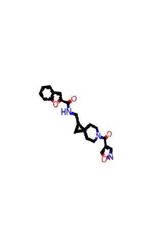 O=C(NCC1CC12CCN(C(=O)c1cnoc1)CC2)c1cc2ccccc2o1